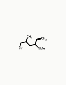 C=CC(CC(C)CC(C)C)NC